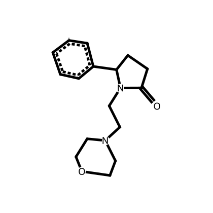 O=C1CCC(c2c[c]ccc2)N1CCN1CCOCC1